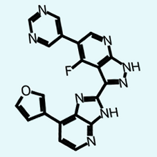 Fc1c(-c2cncnc2)cnc2[nH]nc(-c3nc4c(-c5ccoc5)ccnc4[nH]3)c12